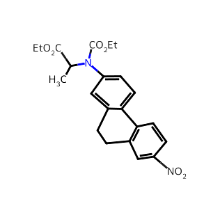 CCOC(=O)C(C)N(C(=O)OCC)c1ccc2c(c1)CCc1cc([N+](=O)[O-])ccc1-2